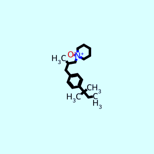 CCC(C)(C)c1ccc(CC(C)C[N+]2([O-])CCCCC2)cc1